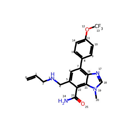 C=CCNCc1cc(-c2ccc(OC(F)(F)F)cc2)c2ncn(C)c2c1C(N)=O